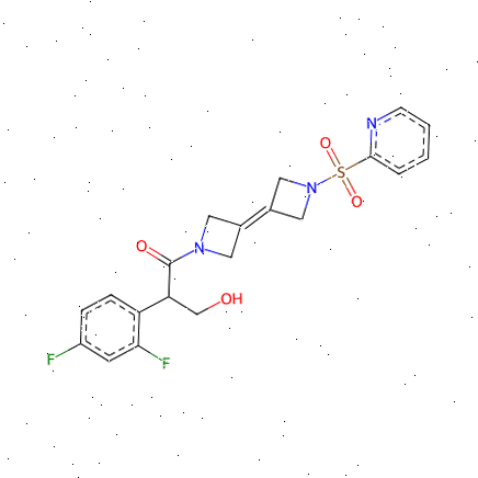 O=C(C(CO)c1ccc(F)cc1F)N1CC(=C2CN(S(=O)(=O)c3ccccn3)C2)C1